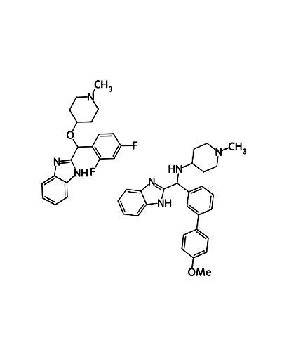 CN1CCC(OC(c2nc3ccccc3[nH]2)c2ccc(F)cc2F)CC1.COc1ccc(-c2cccc(C(NC3CCN(C)CC3)c3nc4ccccc4[nH]3)c2)cc1